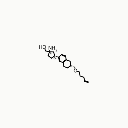 C=CCCCOC[C@@H]1CCc2cc([C@H]3CC[C@](N)(CO)C3)ccc2C1